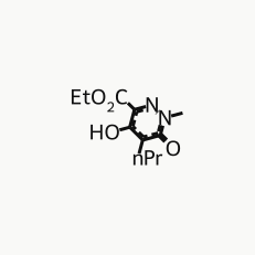 CCCc1c(O)c(C(=O)OCC)nn(C)c1=O